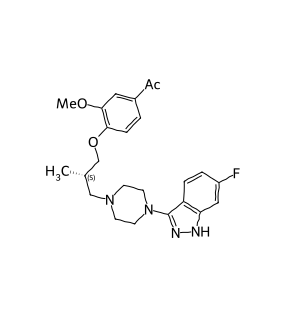 COc1cc(C(C)=O)ccc1OC[C@@H](C)CN1CCN(c2n[nH]c3cc(F)ccc23)CC1